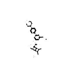 COC(=O)c1cc(NC(=O)C23NC4C2C2C3C(C)C42CO)cc(-c2ccc(C3CCNCC3)cc2)c1